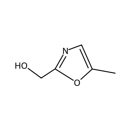 Cc1cnc(CO)o1